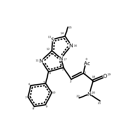 CC(=O)/C(=C\c1c(-c2ccccc2)nc2sc(C)nn12)C(=O)N(C)C